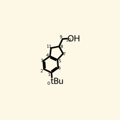 CC(C)(C)c1ccc2c(c1)CC(CO)C2